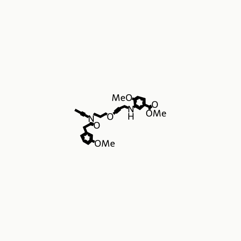 CC#CN(CCCOC#CCNc1cc(C(=O)OC)ccc1OC)C(=O)Cc1cccc(OC)c1